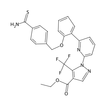 CCOC(=O)c1cnn(-c2cccc(-c3ccccc3OCc3ccc(C(N)=S)cc3)n2)c1C(F)(F)F